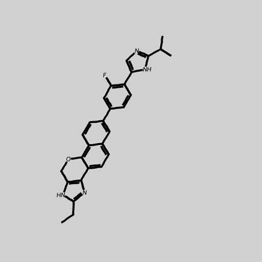 CCc1nc2c([nH]1)COc1c-2ccc2cc(-c3ccc(-c4cnc(C(C)C)[nH]4)c(F)c3)ccc12